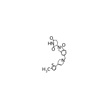 Cc1ccc(C2=CCN(Cc3ccc4c(c3)CN(C3CCC(=O)NC3=O)C4=O)CC2)s1